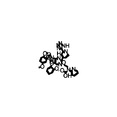 COc1ccc(OC)c(S(=O)(=O)NC2=C(Oc3ccccc3OC)C=NC(OCCN(C(=O)O)c3ccccn3)(c3ccnc(-c4nnn[nH]4)c3)N2)c1